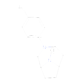 CC(=O)c1ccc(N2CCC3CCC(C2)N3C)cc1